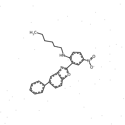 CCCCCCNc1ccc([N+](=O)[O-])cc1-c1nc2cc(-c3ccccc3)ccc2o1